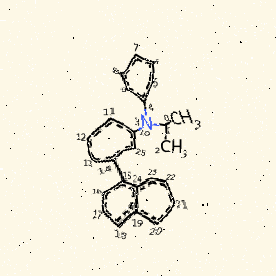 CC(C)N(c1ccccc1)c1cccc(-c2cccc3ccccc23)c1